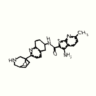 Cc1ccc2c(N)c(C(=O)NC3CCc4nc(C56CCC(CNC5)O6)ccc4C3)sc2n1